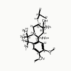 [2H]C1([2H])c2cc(OC)c(OC)cc2[C@@H]2C[C@@]([2H])(O)[C@@H](CC(C)C)CN2C1([2H])[2H]